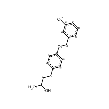 CC(O)CCc1ccc(OCc2cccc(Cl)c2)cc1